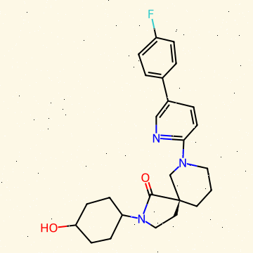 O=C1N(C2CCC(O)CC2)CC[C@@]12CCCN(c1ccc(-c3ccc(F)cc3)cn1)C2